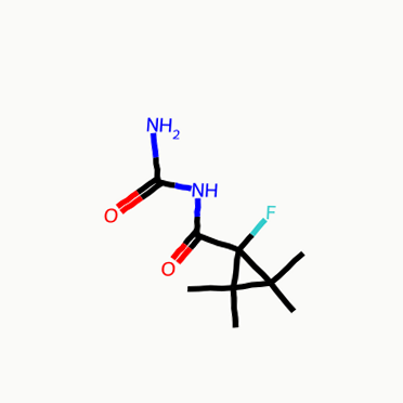 CC1(C)C(C)(C)C1(F)C(=O)NC(N)=O